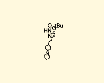 CC(C)(C)OC(=O)Nc1nc(C=Cc2ccc(N3CCCCC3)cc2)cs1